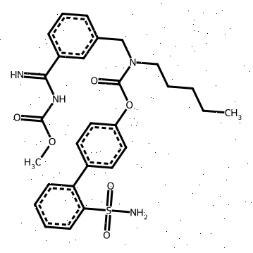 CCCCCN(Cc1cccc(C(=N)NC(=O)OC)c1)C(=O)Oc1ccc(-c2ccccc2S(N)(=O)=O)cc1